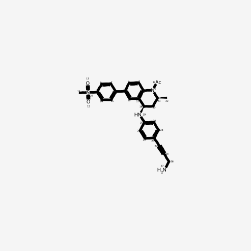 CC(=O)N1c2ccc(-c3ccc(S(C)(=O)=O)cc3)cc2[C@H](Nc2ccc(C#CCN)cc2)C[C@@H]1C